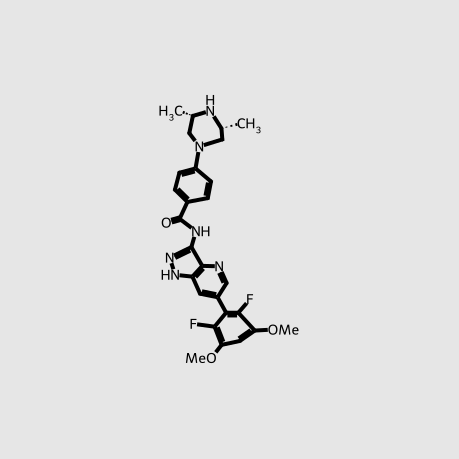 COc1cc(OC)c(F)c(-c2cnc3c(NC(=O)c4ccc(N5C[C@@H](C)N[C@@H](C)C5)cc4)n[nH]c3c2)c1F